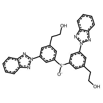 [O-][S+](c1cc(CCO)cc(-n2nc3ccccc3n2)c1)c1cc(CCO)cc(-n2nc3ccccc3n2)c1